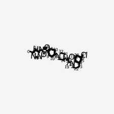 Cc1cc(NS(=O)(=O)c2ccc(N3CCN(C(=O)[C@H](C)N4CCCc5cc(Cl)ccc54)CC3)cc2)ncn1